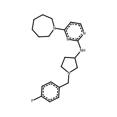 Fc1ccc(CN2CCC(Nc3nccc(N4CCCCCC4)n3)C2)cc1